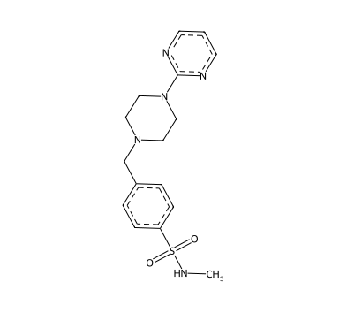 CNS(=O)(=O)c1ccc(CN2CCN(c3ncccn3)CC2)cc1